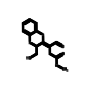 COC(=O)C/C(C=O)=C1/Sc2ccccc2SC1CO